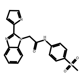 CS(=O)(=O)c1ccc(NC(=O)Cn2c(C3=CCC=N3)nc3ccccc32)cc1